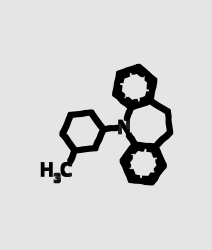 CC1CCCC(N2c3ccccc3CCc3ccccc32)C1